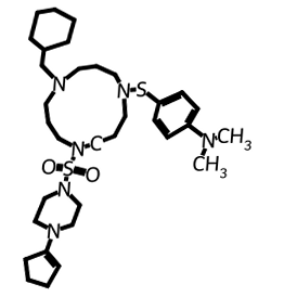 CN(C)c1ccc(SN2CCCN(CC3CCCCC3)CCCN(S(=O)(=O)N3CCN(C4=CCCC4)CC3)CCC2)cc1